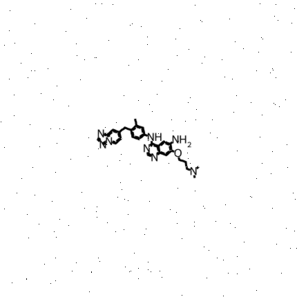 Cc1cc(Nc2ncnc3cc(OCCCN(C)C)c(N)cc23)ccc1Cc1ccn2ncnc2c1